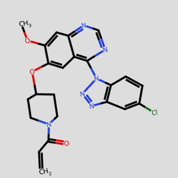 C=CC(=O)N1CCC(Oc2cc3c(-n4nnc5cc(Cl)ccc54)ncnc3cc2OC)CC1